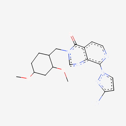 COC1CCC(Cn2cnc3c(-n4ccc(N)n4)nccc3c2=O)C(OC)C1